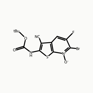 CC(C)(C)OC(=O)Nc1sc2c(cc(F)c(Br)[n+]2[O-])c1C#N